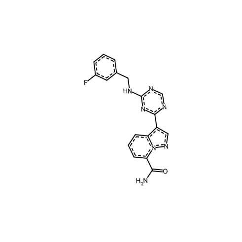 NC(=O)c1cccc2c(-c3ncnc(NCc4cccc(F)c4)n3)cnn12